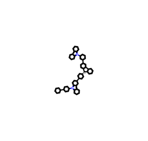 c1ccc(-c2ccc(-n3c4ccccc4c4cc(-c5ccc([C@@H]6c7ccccc7-c7cc(-c8cccc(-n9c%10ccccc%10c%10ccccc%109)c8)ccc76)cc5)ccc43)cc2)cc1